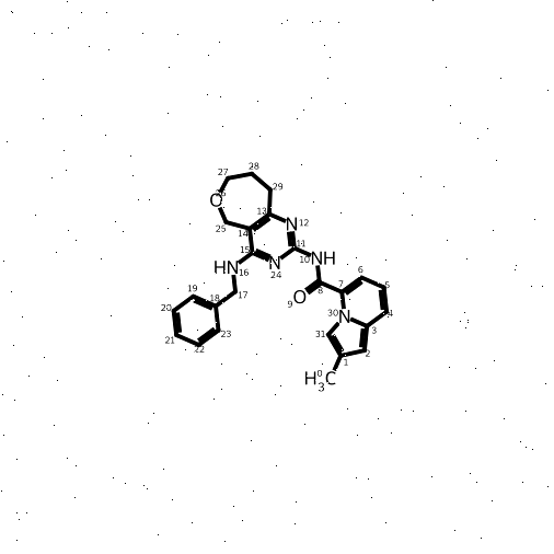 Cc1cc2cccc(C(=O)Nc3nc4c(c(NCc5ccccc5)n3)COCCC4)n2c1